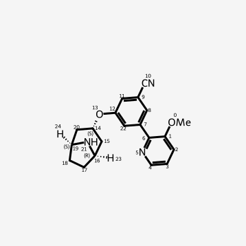 COc1cccnc1-c1cc(C#N)cc(O[C@@H]2C[C@H]3CC[C@@H](C2)N3)c1